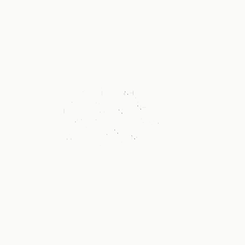 Nc1nc2c(ncn2C2OC(CO)C(OCC(F)(F)F)C2OPO)c(=O)[nH]1